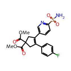 COC(=O)C1(C(=O)OC)CC(c2ccc(F)cc2)=C(c2ccc(S(N)(=O)=O)nc2)C1